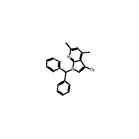 Cc1cc(C)c2c(C#N)cn(C(c3ccccc3)c3ccccc3)c2n1